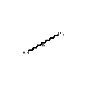 Br.CCCCCCCCCCCCC=CCN